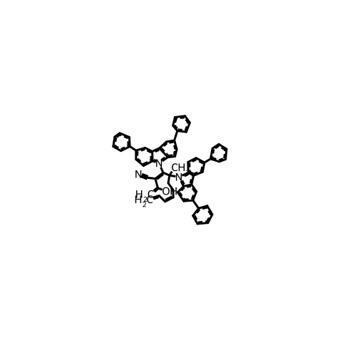 C=C/C=C\CCC(C)(/C(=C(/C#N)C(=C)O)n1c2ccc(-c3ccccc3)cc2c2cc(-c3ccccc3)ccc21)n1c2ccc(-c3ccccc3)cc2c2cc(-c3ccccc3)ccc21